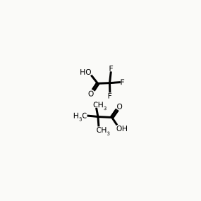 CC(C)(C)C(=O)O.O=C(O)C(F)(F)F